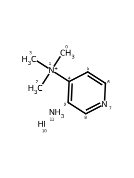 C[N+](C)(C)c1ccncc1.I.N